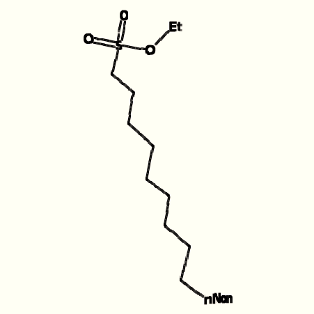 CCCCCCCCCCCCCCCCCCS(=O)(=O)OCC